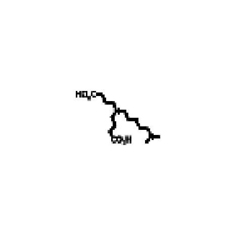 CN(C)CCCCCN(CCCC(=O)O)CCCC(=O)O